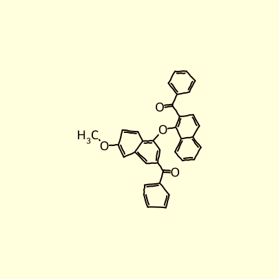 COc1ccc2c(Oc3c(C(=O)c4ccccc4)ccc4ccccc34)cc(C(=O)c3ccccc3)cc2c1